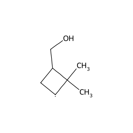 CC1(C)[CH]CC1CO